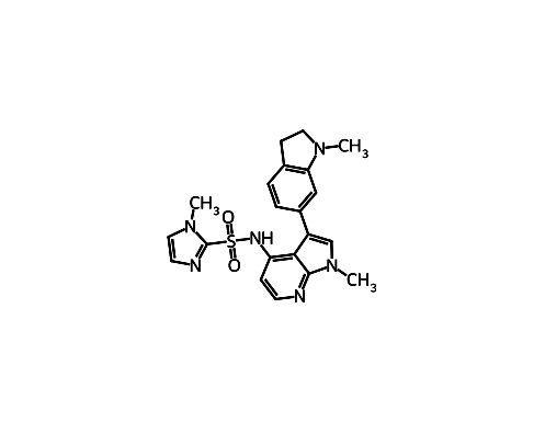 CN1CCc2ccc(-c3cn(C)c4nccc(NS(=O)(=O)c5nccn5C)c34)cc21